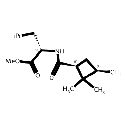 COC(=O)[C@H](CC(C)C)NC(=O)[C@H]1C[C@@H](C)C1(C)C